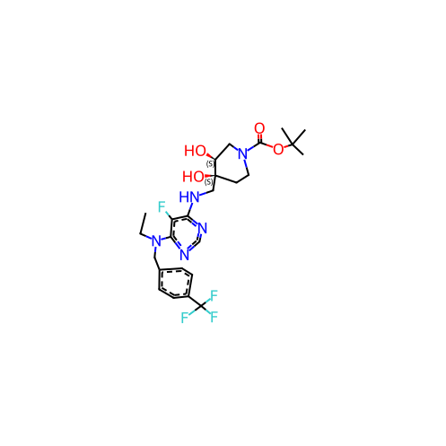 CCN(Cc1ccc(C(F)(F)F)cc1)c1ncnc(NC[C@@]2(O)CCN(C(=O)OC(C)(C)C)C[C@@H]2O)c1F